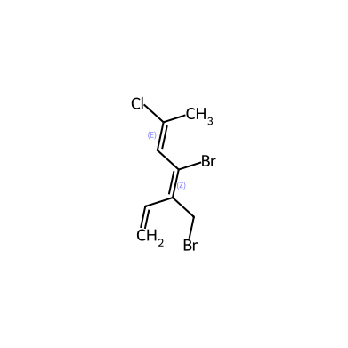 C=C/C(CBr)=C(Br)\C=C(/C)Cl